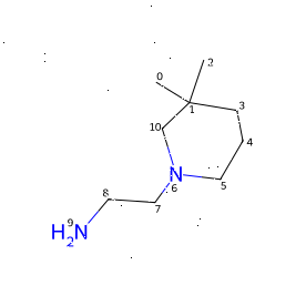 CC1(C)CCCN(CCN)C1